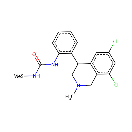 CSNC(=O)Nc1ccccc1C1CN(C)Cc2c(Cl)cc(Cl)cc21